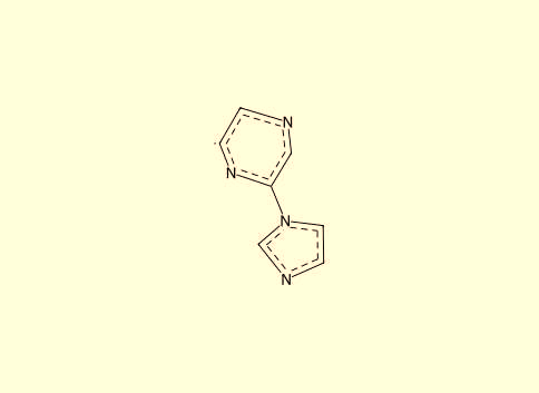 [c]1cncc(-n2ccnc2)n1